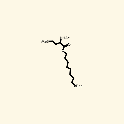 CCCCCCCCCCCCCCCCCCOC(=O)C(CCSC)NC(C)=O